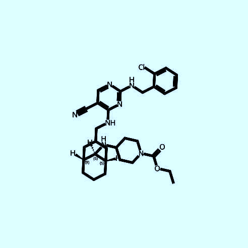 CCOC(=O)N1CCC(N[C@@H]2[C@@H]3CCC[C@H]2CC(CNc2nc(NCc4ccccc4Cl)ncc2C#N)C3)CC1